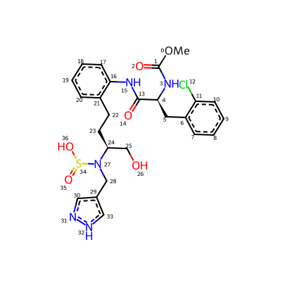 COC(=O)N[C@@H](Cc1ccccc1Cl)C(=O)Nc1ccccc1CC[C@@H](CO)N(Cc1cn[nH]c1)S(=O)O